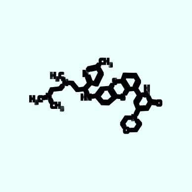 Cc1ccc(C(CCN(C)CCN(C)C)Nc2ccc3c(c2)Sc2cccc(-c4cc(N5CCOCC5)cc(=O)[nH]4)c2S3)nc1